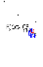 FC(F)(F)c1ccc(CCc2ccc(-c3noc(C4CCCN4)n3)cc2C(F)(F)F)cc1